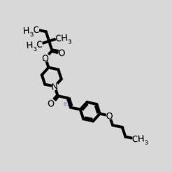 CCCCOc1ccc(/C=C/C(=O)N2CCC(OC(=O)C(C)(C)CC)CC2)cc1